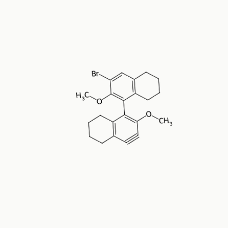 COc1c#cc2c(c1-c1c3c(cc(Br)c1OC)CCCC3)CCCC2